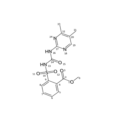 COC(=O)c1ccccc1S(=O)(=O)NC(=O)Nc1ncc(C)c(C)n1